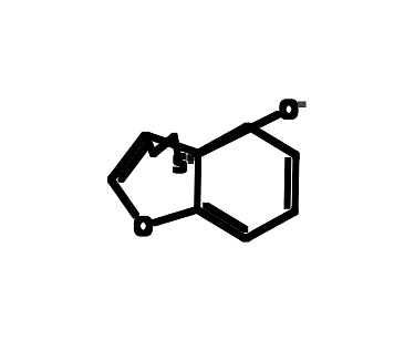 [O-][S+]1CCC2=COC3=CC=CCC231